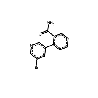 NC(=O)c1ccccc1-c1cncc(Br)c1